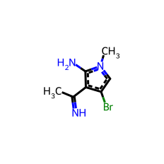 CC(=N)c1c(Br)cn(C)c1N